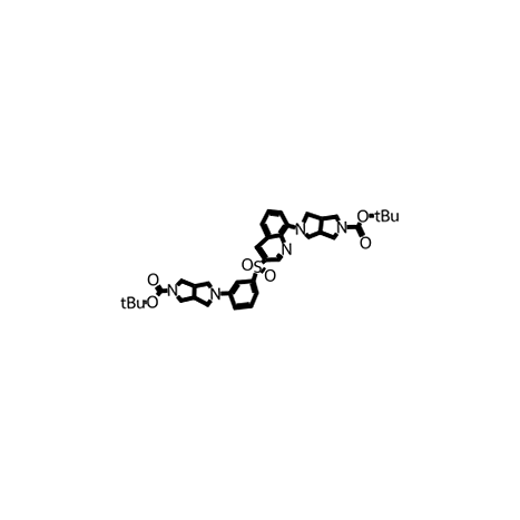 CC(C)(C)OC(=O)N1CC2CN(c3cccc(S(=O)(=O)c4cnc5c(N6CC7CN(C(=O)OC(C)(C)C)CC7C6)cccc5c4)c3)CC2C1